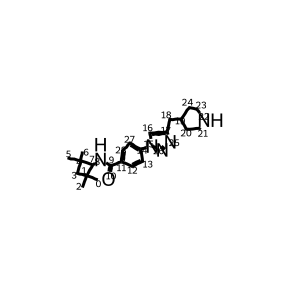 CC1(C)CC(C)(C)C1NC(=O)c1ccc(-n2cc(CC3CCNCC3)nn2)cc1